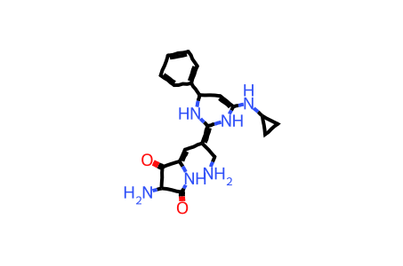 NCC(/C=C1\NC(=O)C(N)C1=O)=C1\NC(NC2CC2)=CC(c2ccccc2)N1